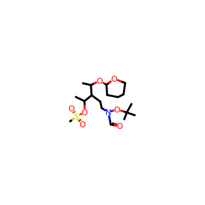 CC(OC1CCCCO1)C(CCN(C=O)OC(C)(C)C)C(C)OS(C)(=O)=O